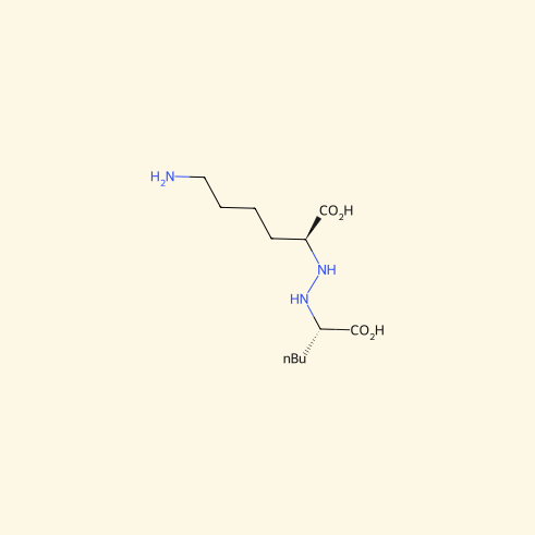 CCCC[C@H](NN[C@@H](CCCCN)C(=O)O)C(=O)O